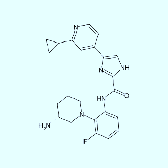 N[C@@H]1CCCN(c2c(F)cccc2NC(=O)c2nc(-c3ccnc(C4CC4)c3)c[nH]2)C1